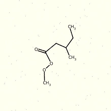 CCC(C)CC(=O)OOC